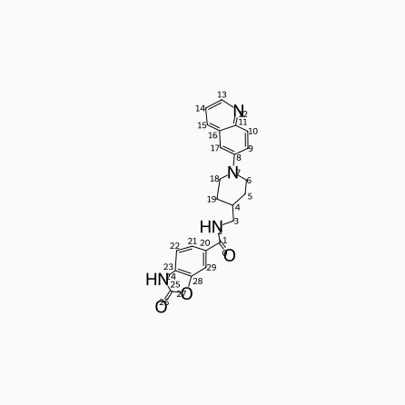 O=C(NCC1CCN(c2ccc3ncccc3c2)CC1)c1ccc2[nH]c(=O)oc2c1